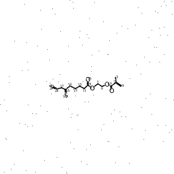 C=C(C)C(=O)OCCOC(=O)CCCCC(=S)CC=S